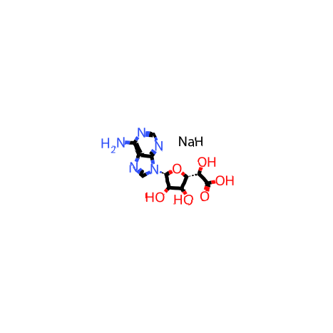 Nc1ncnc2c1ncn2[C@@H]1O[C@H](C(O)C(=O)O)C(O)C1O.[NaH]